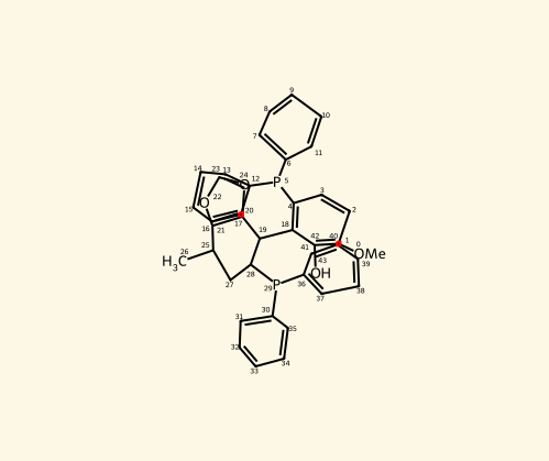 COc1ccc(P(c2ccccc2)c2ccccc2)c(C2C3=C(OCO3)C(C)CC2P(c2ccccc2)c2ccccc2)c1O